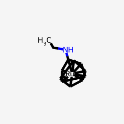 CCN[C]12[CH]3[CH]4[CH]5[CH]1[Ru]45321678[CH]2[CH]1[CH]6[CH]7[CH]28